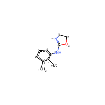 CCc1c(C)cccc1NC1=NCCO1